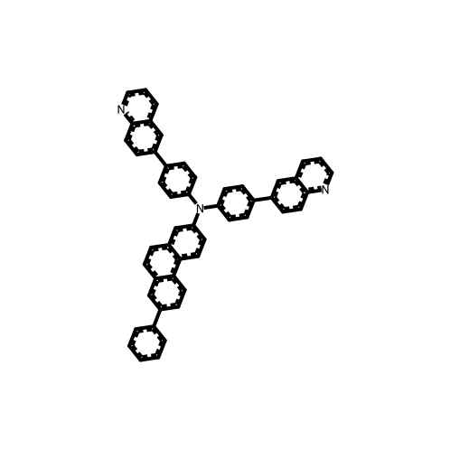 c1ccc(-c2ccc3c(ccc4cc(N(c5ccc(-c6ccc7ncccc7c6)cc5)c5ccc(-c6ccc7ncccc7c6)cc5)ccc43)c2)cc1